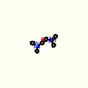 c1ccc(-c2nc(-c3ccccc3)nc(-c3ccc4c(c3)oc3ccc(-c5nc(-c6ccccc6)c6sc7ccccc7c6n5)cc34)n2)cc1